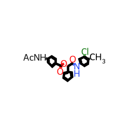 CC(=O)Nc1ccc(C(=O)OC(C(=O)Nc2ccc(C)c(Cl)c2)c2ccccc2)cc1